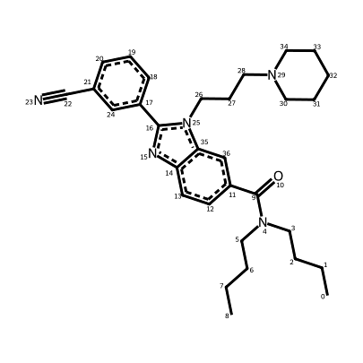 CCCCN(CCCC)C(=O)c1ccc2nc(-c3cccc(C#N)c3)n(CCCN3CCCCC3)c2c1